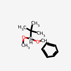 CO[SiH](OC)C(C)(C)C.c1ccccc1